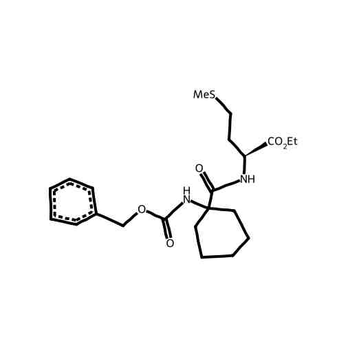 CCOC(=O)[C@H](CCSC)NC(=O)C1(NC(=O)OCc2ccccc2)CCCCC1